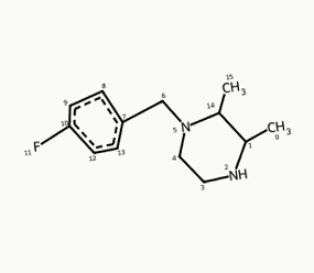 CC1NCCN(Cc2ccc(F)cc2)C1C